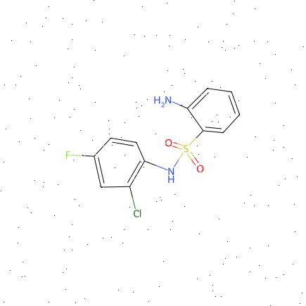 Nc1ccccc1S(=O)(=O)Nc1ccc(F)cc1Cl